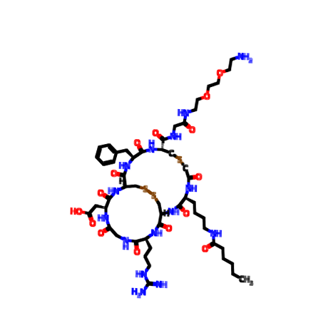 CCCCCC(=O)NCCCC[C@@H]1NC(=O)CSC[C@@H](C(=O)NCC(=O)NCCOCCOCCN)NC(=O)[C@H](Cc2ccccc2)NC(=O)[C@@H]2CSSC[C@H](NC1=O)C(=O)N[C@@H](CCCNC(=N)N)C(=O)NCC(=O)N[C@@H](CC(=O)O)C(=O)N2